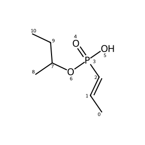 CC=CP(=O)(O)OC(C)CC